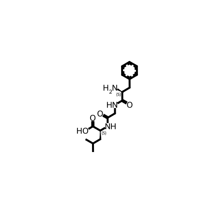 CC(C)C[C@H](NC(=O)CNC(=O)[C@@H](N)Cc1ccccc1)C(=O)O